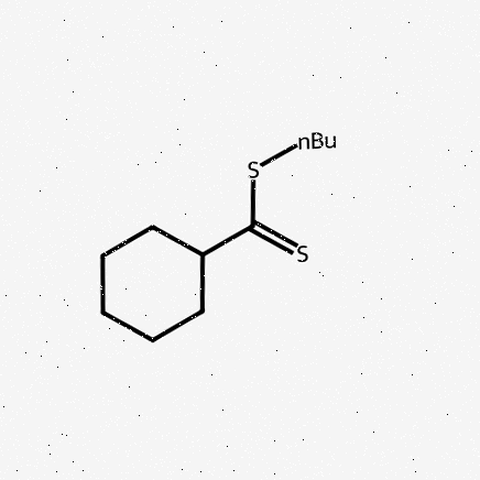 CCCCSC(=S)C1CCCCC1